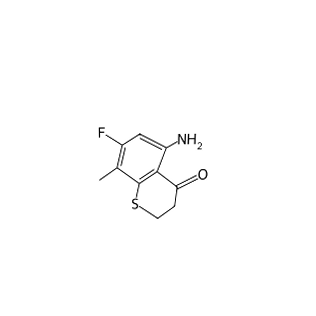 Cc1c(F)cc(N)c2c1SCCC2=O